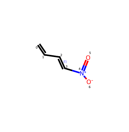 C=C/C=C/[N+](=O)[O-]